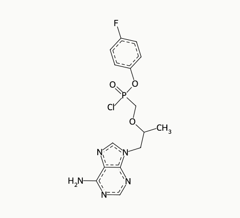 CC(Cn1cnc2c(N)ncnc21)OCP(=O)(Cl)Oc1ccc(F)cc1